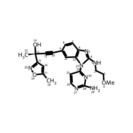 COCCNc1nc2ccc(C#C[C@@](C)(O)c3cc(C)on3)cc2n1-c1ccnc(N)n1